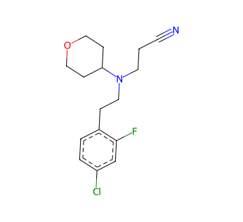 N#CCCN(CCc1ccc(Cl)cc1F)C1CCOCC1